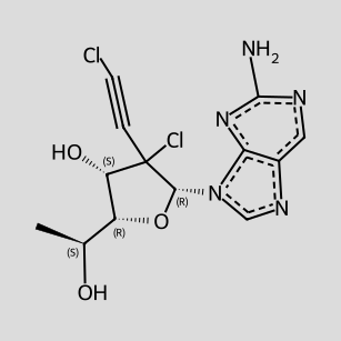 C[C@H](O)[C@H]1O[C@@H](n2cnc3cnc(N)nc32)C(Cl)(C#CCl)[C@H]1O